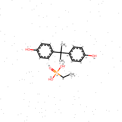 CC(C)(c1ccc(O)cc1)c1ccc(O)cc1.CCP(=O)(O)O